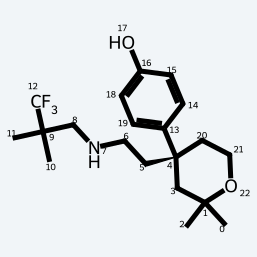 CC1(C)C[C@](CCNCC(C)(C)C(F)(F)F)(c2ccc(O)cc2)CCO1